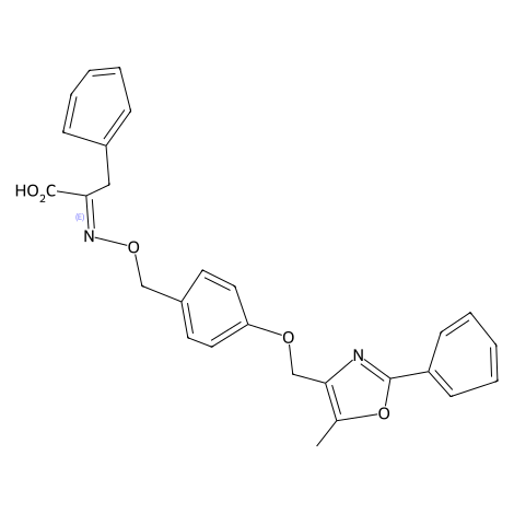 Cc1oc(-c2ccccc2)nc1COc1ccc(CO/N=C(\Cc2ccccc2)C(=O)O)cc1